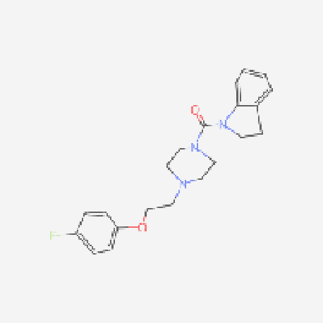 O=C(N1CCN(CCOc2ccc(F)cc2)CC1)N1CCc2ccccc21